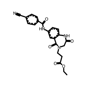 CCOC(=O)CCN1CC(=O)Nc2ccc(NC(=O)c3ccc(C#N)cc3)cc2C1=O